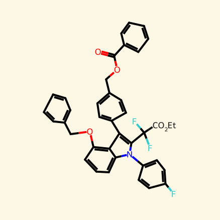 CCOC(=O)C(F)(F)c1c(-c2ccc(COC(=O)c3ccccc3)cc2)c2c(OCc3ccccc3)cccc2n1-c1ccc(F)cc1